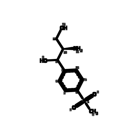 CS(=O)(=O)c1ccc(C(O)[C@H](N)CO)cc1